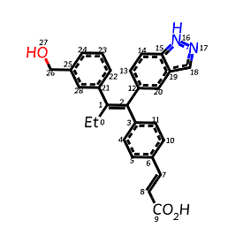 CCC(=C(c1ccc(C=CC(=O)O)cc1)c1ccc2[nH]ncc2c1)c1cccc(CO)c1